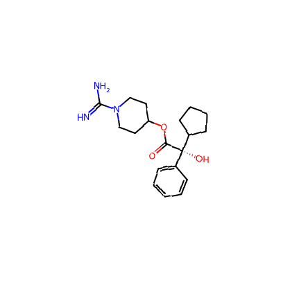 N=C(N)N1CCC(OC(=O)[C@](O)(c2ccccc2)C2CCCC2)CC1